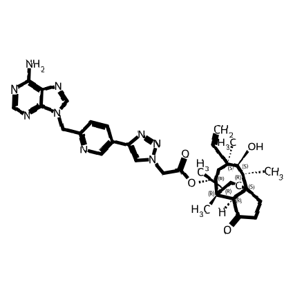 C=C[C@]1(C)C[C@@H](OC(=O)Cn2cc(-c3ccc(Cn4cnc5c(N)ncnc54)nc3)nn2)[C@]2(C)[C@H](C)CC[C@]3(CCC(=O)[C@H]32)[C@@H](C)[C@@H]1O